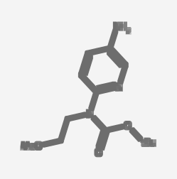 COCCN(C(=O)OC(C)(C)C)c1ccc(N)cn1